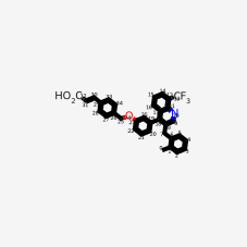 Cc1ccccc1Cc1cnc2c(C(F)(F)F)cccc2c1-c1cccc(OCc2ccc(C=CC(=O)O)cc2)c1